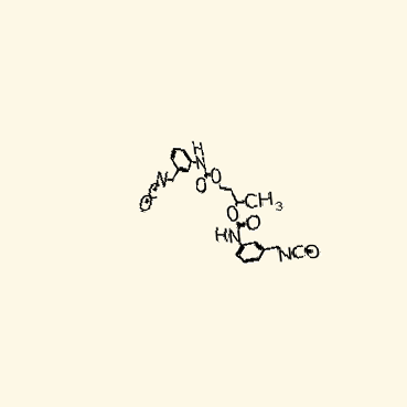 CC(CCOC(=O)Nc1cccc(CN=C=O)c1)OC(=O)Nc1cccc(CN=C=O)c1